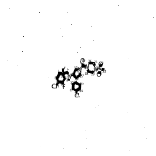 CN(CC1(C)C=CC(Cl)=C(F)C1)[C@H]1CN(C(=O)N2CCN(S(C)(=O)=O)CC2)C[C@@H]1c1ccc(Cl)cc1